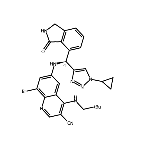 CC(C)(C)CNc1c(C#N)cnc2c(Br)cc(N[C@H](c3cn(C4CC4)nn3)c3cccc4c3C(=O)NC4)cc12